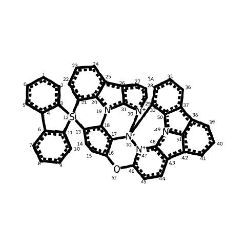 c1ccc2c(c1)-c1ccccc1[Si]21c2ccc3c4c2-n2c5c1cccc5c1ccc[n+](c12)[N+]41c2cccc4c5cccc6c7ccc([n+]1c7n(c24)c56)O3